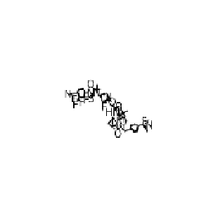 Cc1ncsc1-c1ccc(CNC(=O)[C@@H]2CCCN2C(=O)[C@@H](NC(=O)COc2ncc(N3C(=S)N(c4ccc(C#N)c(C(F)(F)F)c4F)C(=O)C3(C)C)cc2F)C(C)(C)C)cc1